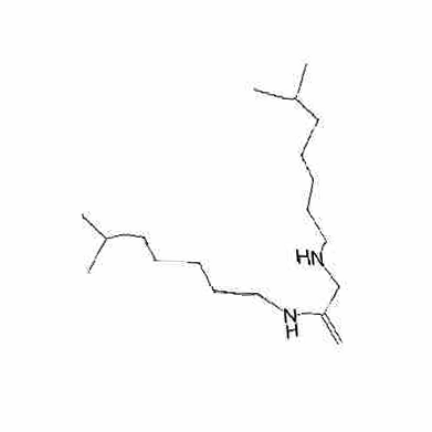 C=C(CNCCCCCC(C)C)NCCCCCC(C)C